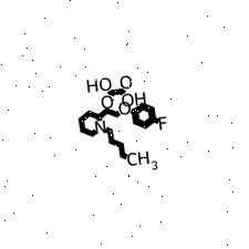 CCCCCN1CCCCC1CCOc1ccc(F)cc1.O=C(O)C(=O)O